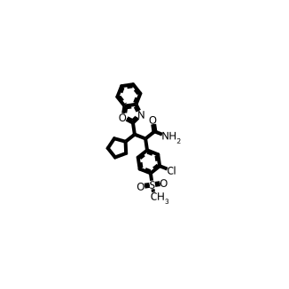 CS(=O)(=O)c1ccc(C(C(N)=O)C(c2nc3ccccc3o2)C2CCCC2)cc1Cl